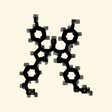 COc1ccc(C2=NN(C(=O)N3N=C(c4ccc(OC)cc4)CC3c3ccc(F)cc3)C(c3ccc(F)cc3)C2)cc1